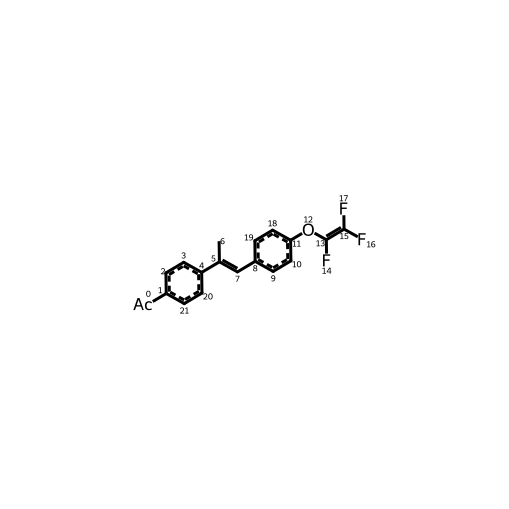 CC(=O)c1ccc(/C(C)=C/c2ccc(OC(F)=C(F)F)cc2)cc1